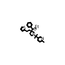 CCOC(c1ccccc1)C1(CCc2cccs2)CCN(C(C)(C)c2ccc(C)nc2)C1